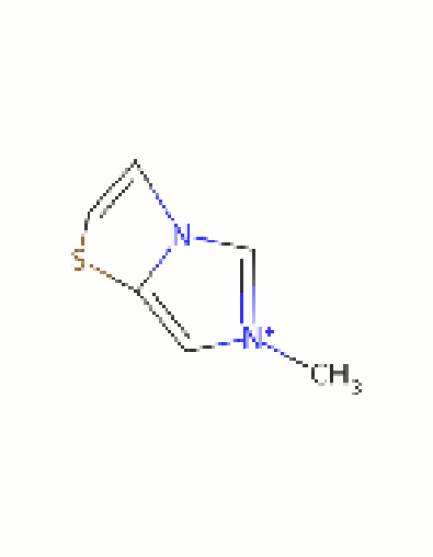 C[n+]1cc2sccn2c1